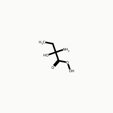 CCC(N)(O)C(=O)OO